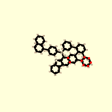 c1ccc(-c2ccccc2-c2c(-c3ccccc3)cccc2-c2cccc(N(c3ccc(-c4cccc5ccccc45)cc3)c3cccc4c3oc3ccccc34)c2)cc1